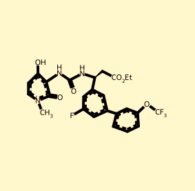 CCOC(=O)C[C@H](NC(=O)Nc1c(O)ccn(C)c1=O)c1cc(F)cc(-c2cccc(OC(F)(F)F)c2)c1